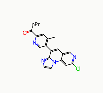 CCCC(=O)c1cc(C)c(-c2cc3cnc(Cl)cc3n3ccnc23)cn1